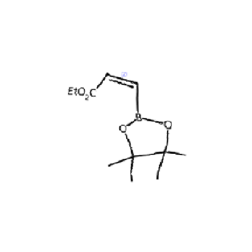 CCOC(=O)/C=C\B1OC(C)(C)C(C)(C)O1